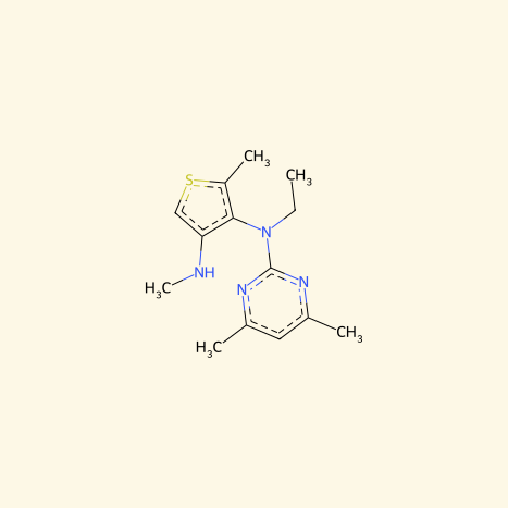 CCN(c1nc(C)cc(C)n1)c1c(NC)csc1C